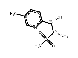 Cc1ccc([C@H](O)[C@H](C)S(N)(=O)=O)nc1